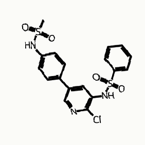 CS(=O)(=O)Nc1ccc(-c2cnc(Cl)c(NS(=O)(=O)c3ccccc3)c2)cc1